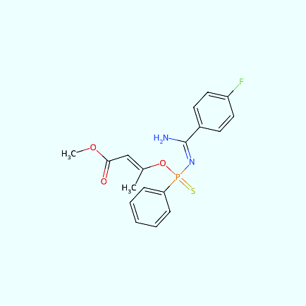 COC(=O)C=C(C)OP(=S)(N=C(N)c1ccc(F)cc1)c1ccccc1